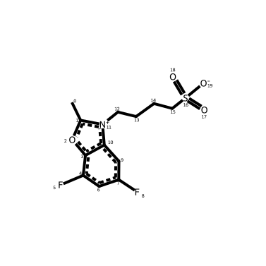 Cc1oc2c(F)cc(F)cc2[n+]1CCCCS(=O)(=O)[O-]